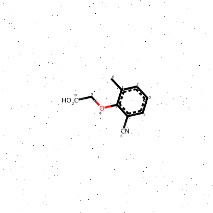 Cc1cccc(C#N)c1OCC(=O)O